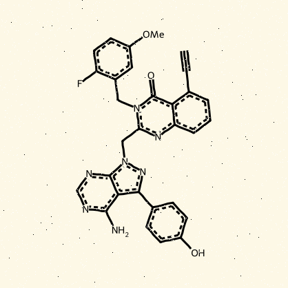 C#Cc1cccc2nc(Cn3nc(-c4ccc(O)cc4)c4c(N)ncnc43)n(Cc3cc(OC)ccc3F)c(=O)c12